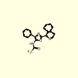 O=C(Nc1oc(-c2nccc3ccccc23)nc1-c1ccccc1)C(F)(F)F